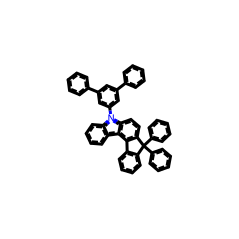 c1ccc(-c2cc(-c3ccccc3)cc(-n3c4ccccc4c4c5c(ccc43)C(c3ccccc3)(c3ccccc3)c3ccccc3-5)c2)cc1